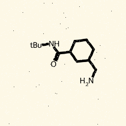 CC(C)(C)NC(=O)C1CCCC(CN)C1